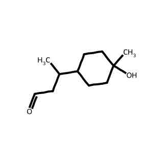 CC(CC=O)C1CCC(C)(O)CC1